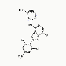 C=C(C)/C=C(\N=C/N)Nc1ncc(F)c2nn(-c3c(Cl)cc([N+](=O)[O-])cc3Cl)cc12